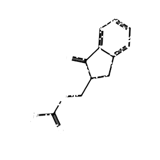 NC(=O)OCC1Cc2ccccc2C1=O